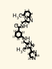 Cc1cccc2ncc(CNC(=O)c3cccc(NCc4nnc(-c5ccncn5)n4C)c3)n12